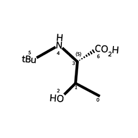 CC(O)[C@H](NC(C)(C)C)C(=O)O